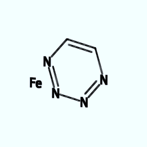 [Fe].c1cnnnn1